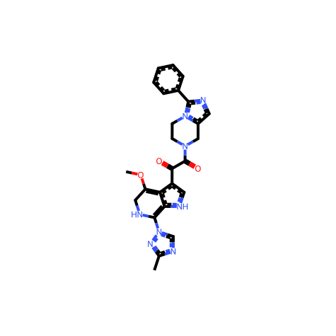 COC1=c2c(C(=O)C(=O)N3CCn4c(cnc4-c4ccccc4)C3)c[nH]c2=C(n2cnc(C)n2)NC1